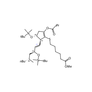 CCCC[C@@H](C)C[C@@H](/C=C/[C@@H]1C(SCCCCCC(=O)OC)=C(OC(=O)C(C)C)C[C@H]1O[Si](C)(C)C(C)(C)C)O[Si](C)(C)C(C)(C)C